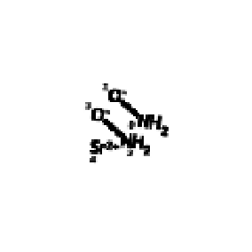 N[O-].N[O-].[Sr+2]